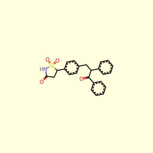 O=C1CC(c2ccc(CC(C(=O)c3ccccc3)c3ccccc3)cc2)S(=O)(=O)N1